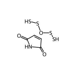 O=C1C=CC(=O)N1.SSOSS